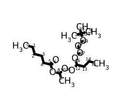 CCCCCC(=O)OC(C)OOC(CCC)OOOOC(C)(C)C